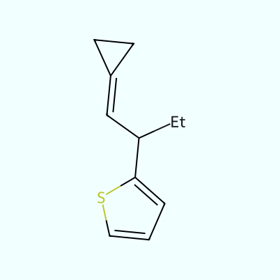 [CH2]CC(C=C1CC1)c1cccs1